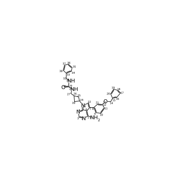 Nc1ncnc2c1c(-c1cccc(OCc3ccccc3)c1)cn2C1CC(CNC(=O)NCc2ccccc2)C1